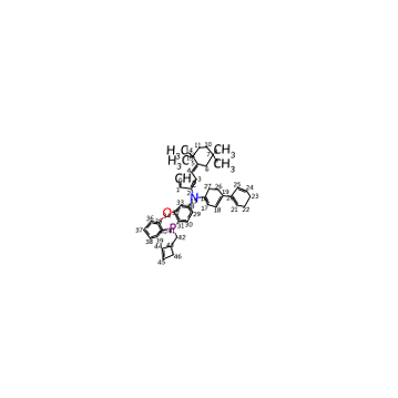 C=C/C(=C\C=C1/CC(C)(C)CCC1(C)C)N(C1=CC=C(C2=CCCC=C2)CC1)c1ccc2c(c1)Oc1ccccc1P2CC1C=CC1